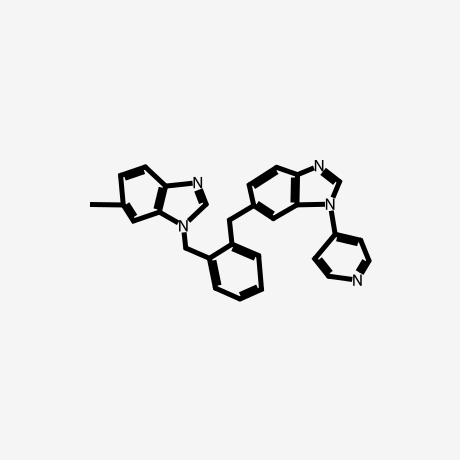 Cc1ccc2ncn(Cc3ccccc3Cc3ccc4ncn(-c5ccncc5)c4c3)c2c1